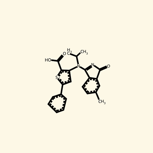 Cc1ccc2c(c1)C(=O)N=C2N(c1cc(-c2ccccc2)sc1C(=O)O)C(C)C